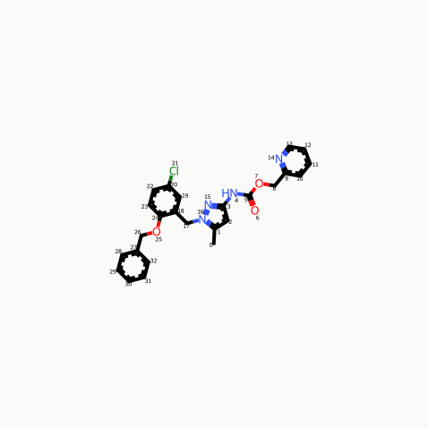 Cc1cc(NC(=O)OCc2ccccn2)nn1Cc1cc(Cl)ccc1OCc1ccccc1